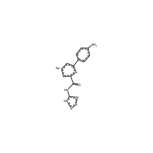 Nc1ccc(-c2cccc(C(=O)Nc3nnn[nH]3)n2)cc1.[Na]